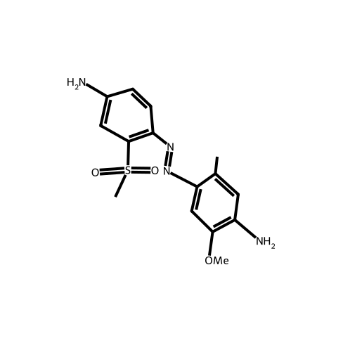 COc1cc(N=Nc2ccc(N)cc2S(C)(=O)=O)c(C)cc1N